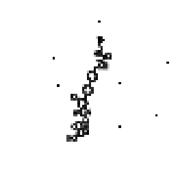 CN(C)CCNC(=O)C(C)(C)NCc1ccc(-c2ccc(-c3cc4nc(O[C@@H]5COC6[C@H](O)CO[C@@H]65)[nH]c4cc3Cl)cc2)cc1